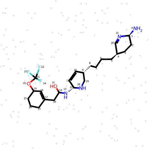 N[C@H]1CC[C@@H](CCCC[C@H]2C=C[C@@H](NC(O)CC3=CC(OC(F)(F)F)CCC3)NC2)C=N1